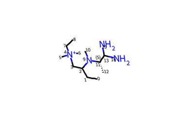 CCC(C[N+](C)(C)CC)N(C)[C@@H](C)C(N)N